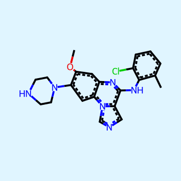 COc1cc2nc(Nc3c(C)cccc3Cl)c3cncn3c2cc1N1CCNCC1